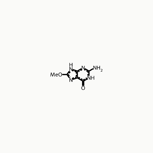 COc1nc2c(=O)[nH]c(N)nc2[nH]1